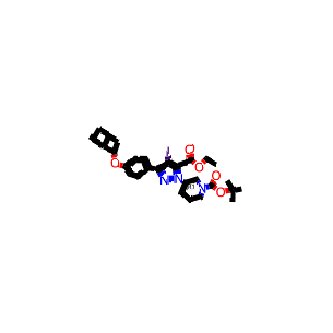 CCOC(=O)c1c(I)c(-c2ccc(OC3C4CC5C4C53)cc2)nn1[C@@H]1CCCN(C(=O)OC(C)(C)C)C1